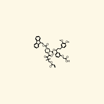 C=CC(=O)OCC(C)(C)C(=O)C(=O)N1CCN(C(=O)OCC2c3ccccc3-c3ccccc32)C[C@H]1C(=O)OC(CCc1ccc(OC)c(OC)c1)c1cccc(OCC(=O)O)c1